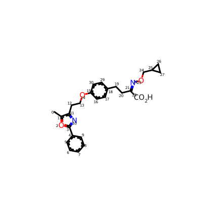 Cc1oc(-c2ccccc2)nc1CCOc1ccc(CCC(=NOCC2CC2)C(=O)O)cc1